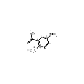 C=C(CCC)c1cc(N)ccc1C(=O)O